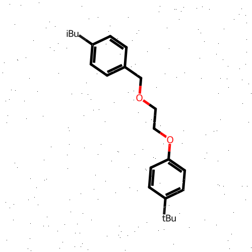 CCC(C)c1ccc(COCCOc2ccc(C(C)(C)C)cc2)cc1